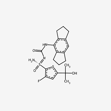 CC(C)(O)c1cc(F)c([S@@](N)(=O)=NC(=O)Nc2c3c(cc4c2CCC4)CCC3)s1